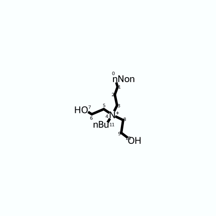 CCCCCCCCCCCC[N+](CCO)(CCO)CCCC